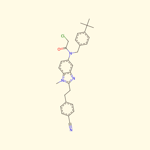 Cn1c(CCc2ccc(C#N)cc2)nc2cc(N(Cc3ccc(C(C)(C)C)cc3)C(=O)CCl)ccc21